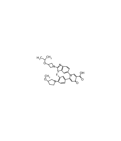 COC1CCN(c2ccc(-c3cc(=O)c(C(=O)O)cn3-c3ccc4nc(N5CC(OC(C)C)C5)sc4c3)cc2F)C1